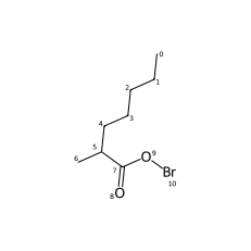 CCCCCC(C)C(=O)OBr